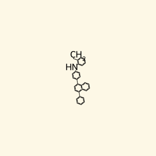 C=Cc1ccccc1Nc1ccc(-c2ccc(-c3ccccc3)c3ccccc23)cc1